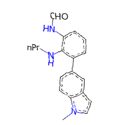 CCCNc1c(NC=O)cccc1-c1ccc2c(ccn2C)c1